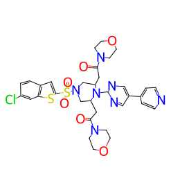 O=C(CC1CN(S(=O)(=O)c2cc3ccc(Cl)cc3s2)CC(CC(=O)N2CCOCC2)N1c1ncc(-c2ccncc2)cn1)N1CCOCC1